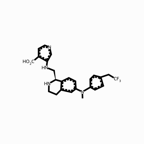 CN(c1ccc(CC(F)(F)F)cc1)c1ccc2c(c1)CCN[C@H]2CNc1cnccc1C(=O)O